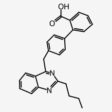 CCCCc1nc(Cc2ccc(-c3ccccc3C(=O)O)cc2)c2ccccc2n1